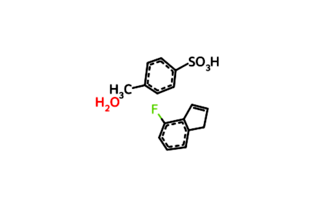 Cc1ccc(S(=O)(=O)O)cc1.Fc1cccc2c1C=CC2.O